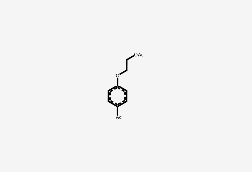 CC(=O)OCCOc1ccc(C(C)=O)cc1